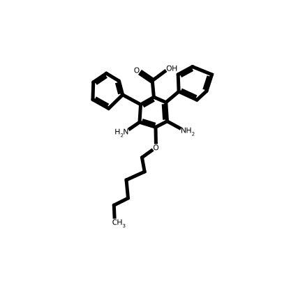 CCCCCCOc1c(N)c(-c2ccccc2)c(C(=O)O)c(-c2ccccc2)c1N